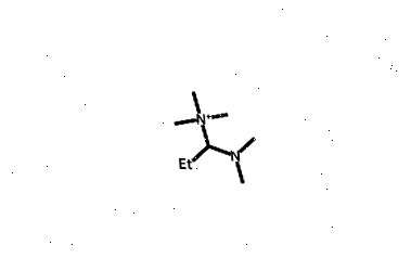 CCC(N(C)C)[N+](C)(C)C